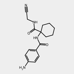 N#CCNC(=O)C1(NC(=O)c2ccc(N)cc2)CCCCC1